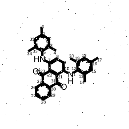 Cc1cc(C)c(NC2=CCC(Nc3c(C)cc(C)cc3C)C3=C2C(=O)c2ccccc2C3=O)c(C)c1